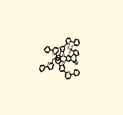 N#Cc1cc(-n2c3cc(-c4cccc(-c5ccccc5)n4)ccc3c3ccc(-c4cccc(-c5ccccc5)n4)cc32)c(-n2c3ccc(Cc4cccc(-c5ccccc5)n4)cc3c3ccc(-c4cccc(-c5ccccc5)n4)cc32)cc1-c1c(C#N)cccc1C(F)(F)F